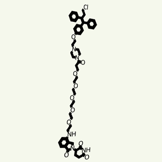 O=C1CCC(N2Cc3c(NCCOCCOCCOCCOCCOCCC(=O)N4CCN(CCOc5ccc(/C(=C(/CCCl)c6ccccc6)c6ccccc6)cc5)CC4)cccc3C2=O)C(=O)N1